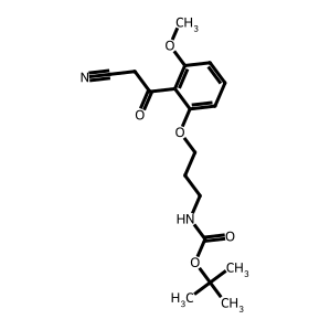 COc1cccc(OCCCNC(=O)OC(C)(C)C)c1C(=O)CC#N